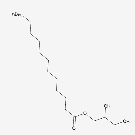 CCCCCCCCCCCCCCCCCCCCC(=O)OCC(O)CO